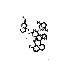 C#Cc1c(F)ccc2cccc(-c3cc4nc(OC[C@@]56CCCN5C/C(=C\F)C6)nc(N5C[C@H]6CC[C@@H](C5)N6)c4n4ccnc34)c12